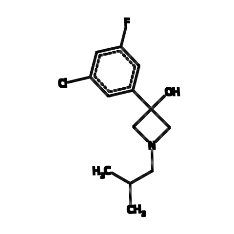 CC(C)CN1CC(O)(c2cc(F)cc(Cl)c2)C1